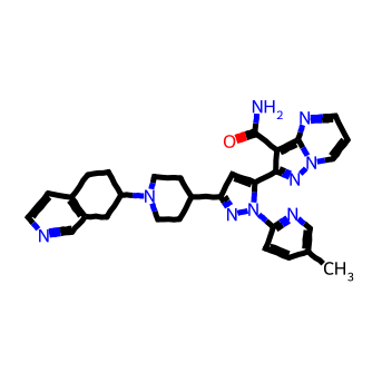 Cc1ccc(-n2nc(C3CCN(C4CCc5ccncc5C4)CC3)cc2-c2nn3cccnc3c2C(N)=O)nc1